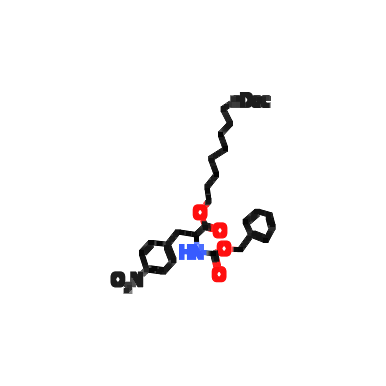 CCCCCCCCCCCCCCCCCCOC(=O)C(Cc1ccc([N+](=O)[O-])cc1)NC(=O)OCc1ccccc1